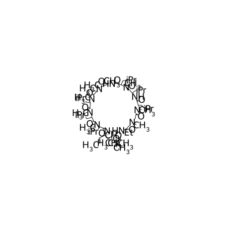 C/C=C/CC(C)C(O[Si](C)(C)C)C1C(=O)NC(CC)C(=O)N(C)CC(=O)N(C)C(CC(C)C)C(=O)NC(C(C)C)C(=O)N(C)C(CC(C)C)C(=O)NC(C)C(=O)N(C)C(C)C(=O)N(C)C(CC(C)C)C(=O)N(C)C(CC(C)C)C(=O)N(C)C(C(C)C)C(=O)N1C